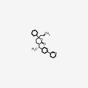 C=CCC1(c2ccccc2)CCN([C@@H](C)c2ccc(-c3cccnc3)cc2)C(=O)O1